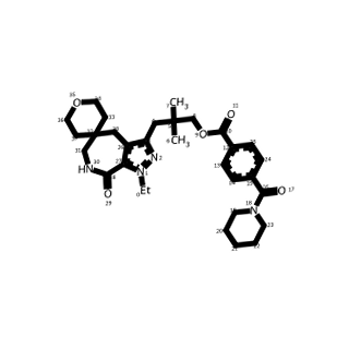 CCn1nc(CC(C)(C)COC(=O)c2ccc(C(=O)N3CCCCC3)cc2)c2c1C(=O)NCC1(CCOCC1)C2